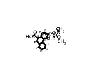 CO[Si](C)(OC)OC.O=C(O)c1cc2ccccc2c2ccccc12